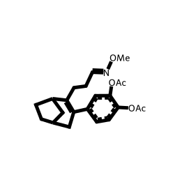 CON=CCCC1=C(c2ccc(OC(C)=O)c(OC(C)=O)c2)CC2CCC1C2